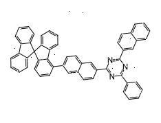 c1ccc(-c2nc(-c3ccc4ccccc4c3)nc(-c3ccc4cc(-c5cccc6c5-c5ccccc5C65c6ccccc6-c6ccccc65)ccc4c3)n2)cc1